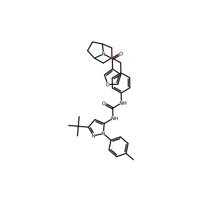 Cc1ccc(-n2nc(C(C)(C)C)cc2NC(=O)Nc2ccc(CC3CC4CCC(C3)N4C(=O)c3ccoc3)cc2)cc1